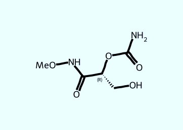 CONC(=O)[C@@H](CO)OC(N)=O